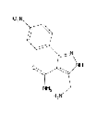 NCc1[nH]nc(-c2ccc([N+](=O)[O-])cc2)c1C(N)=O